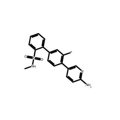 CNS(=O)(=O)c1ccccc1-c1ccc(-c2ccc(N)nc2)c(F)c1